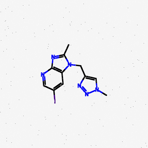 Cc1nc2ncc(I)cc2n1Cc1cn(C)nn1